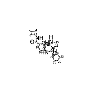 O=C(NC1CCC1)c1ccc2c(c1)[C@H]1NCC[C@H]1C(c1ccccc1)N2